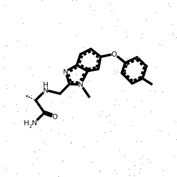 Cc1ccc(Oc2ccc3nc(CN[C@@H](C)C(N)=O)n(C)c3c2)cc1